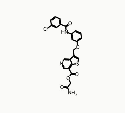 NC(=O)COC(=O)c1cncc2c(COc3cccc(NC(=O)c4cccc(Cl)c4)c3)csc12